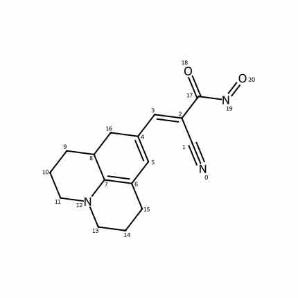 N#C/C(=C\C1=CC2=C3C(CCCN3CCC2)C1)C(=O)N=O